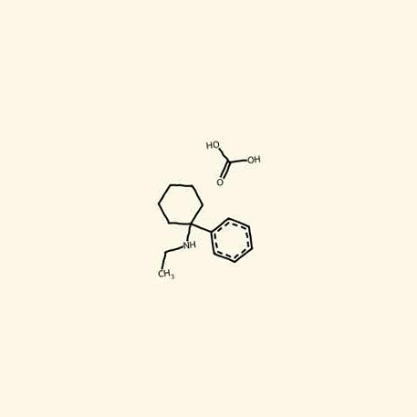 CCNC1(c2ccccc2)CCCCC1.O=C(O)O